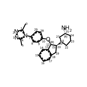 Cc1nnc(C)n1-c1ccc(O[C@@H]2c3ccccc3C[C@@H]2N2CCC[C@@H](N)C2)cc1